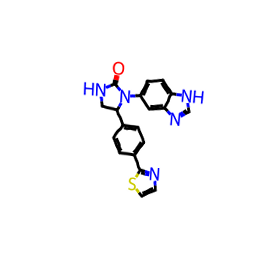 O=C1NCC(c2ccc(-c3nccs3)cc2)N1c1ccc2[nH]cnc2c1